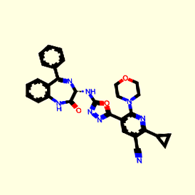 N#Cc1cc(-c2nnc(N[C@H]3N=C(c4ccccc4)c4ccccc4NC3=O)o2)c(N2CCOCC2)nc1C1CC1